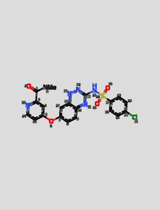 CNC(=O)c1cc(Oc2ccc3nc(NS(=O)(=O)c4ccc(Cl)cc4)nnc3c2)ccn1